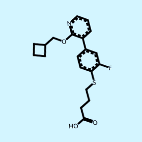 O=C(O)CCCSc1ccc(-c2cccnc2OCC2CCC2)cc1F